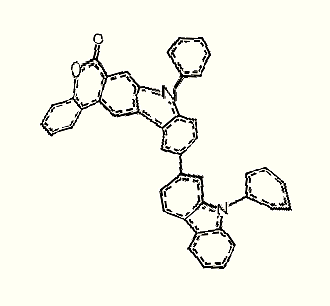 O=c1oc2ccccc2c2cc3c4cc(-c5ccc6c7ccccc7n(-c7ccccc7)c6c5)ccc4n(-c4ccccc4)c3cc12